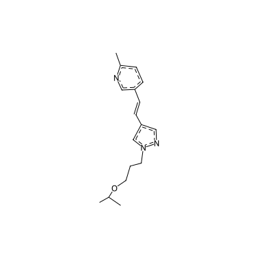 Cc1ccc(/C=C/c2cnn(CCCOC(C)C)c2)cn1